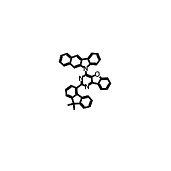 CC1(C)c2ccccc2-c2c(-c3nc(-n4c5ccccc5c5cc6ccccc6cc54)c4oc5ccccc5c4n3)cccc21